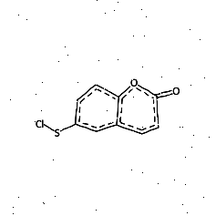 O=c1ccc2cc(SCl)ccc2o1